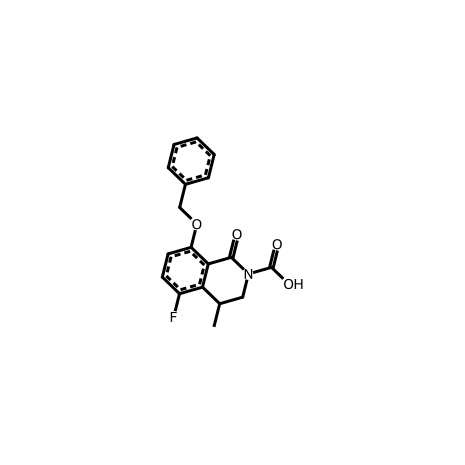 CC1CN(C(=O)O)C(=O)c2c(OCc3ccccc3)ccc(F)c21